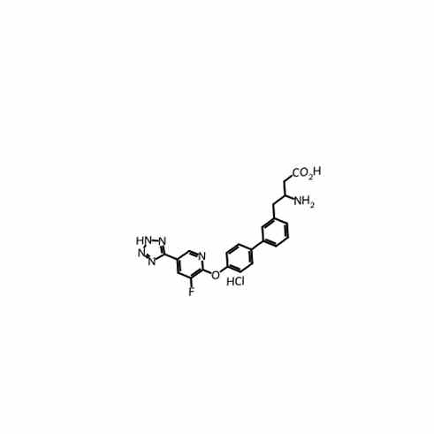 Cl.NC(CC(=O)O)Cc1cccc(-c2ccc(Oc3ncc(-c4nn[nH]n4)cc3F)cc2)c1